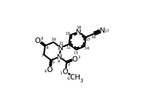 COC(=O)N1C(=O)CC(=O)CN1c1ccc(C#N)nc1